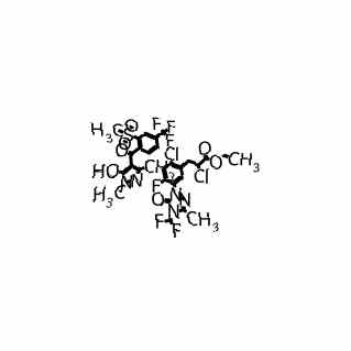 CCOC(=O)C(Cl)Cc1cc(-n2nc(C)n(C(F)F)c2=O)c(F)cc1Cl.Cc1nn(C)c(O)c1C(=O)c1ccc(C(F)(F)F)cc1S(C)(=O)=O